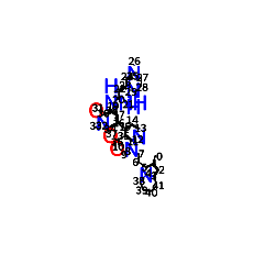 Cc1cc2n(c1CCN(C=O)c1nccc(-c3cc(NC(=N)/C=C4/CN(C)CCN4)c(=O)n(C)c3)c1C=O)CCCC2